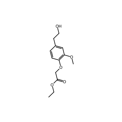 CCOC(=O)COc1ccc(CCO)cc1OC